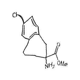 COC(=O)C1(N)CCc2cc(Cl)ccc2C1